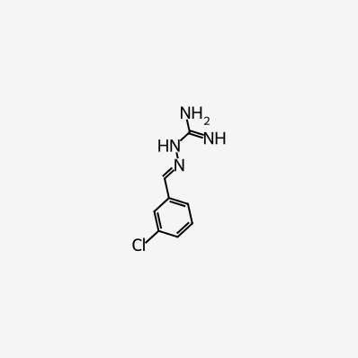 N=C(N)NN=Cc1cccc(Cl)c1